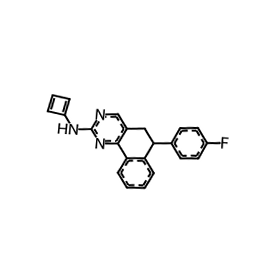 Fc1ccc(C2Cc3cnc(NC4=CC=C4)nc3-c3ccccc32)cc1